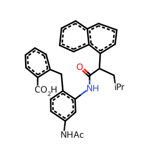 CC(=O)Nc1ccc(Cc2ccccc2C(=O)O)c(NC(=O)C(CC(C)C)c2cccc3ccccc23)c1